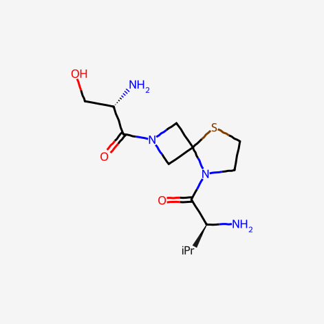 CC(C)[C@H](N)C(=O)N1CCSC12CN(C(=O)[C@@H](N)CO)C2